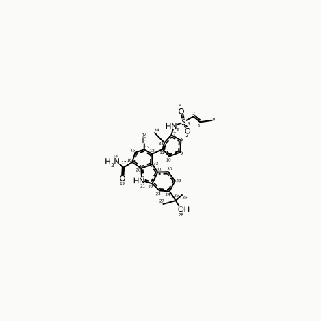 CC=CS(=O)(=O)Nc1cccc(-c2c(F)cc(C(N)=O)c3[nH]c4cc(C(C)(C)O)ccc4c23)c1C